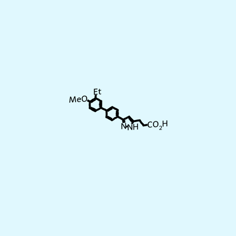 CCc1cc(-c2ccc(-c3cc(CCC(=O)O)[nH]n3)cc2)ccc1OC